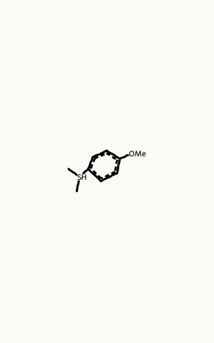 COc1ccc([SH](C)C)cc1